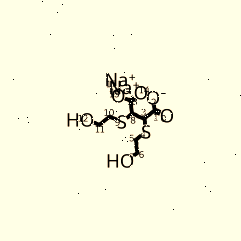 O=C([O-])C(SCCO)C(SCCO)C(=O)[O-].[Na+].[Na+]